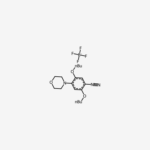 CCCCOc1cc(N2CCOCC2)c(OCCCC)cc1[N+]#N.F[B-](F)(F)F